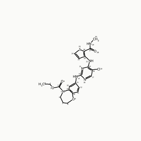 CCOC(=O)N1CCCOc2ccc(Nc3ncc(Cl)c(Nc4ccsc4C(=O)NC)n3)cc21